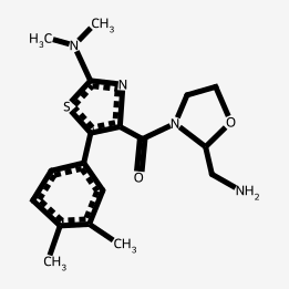 Cc1ccc(-c2sc(N(C)C)nc2C(=O)N2CCOC2CN)cc1C